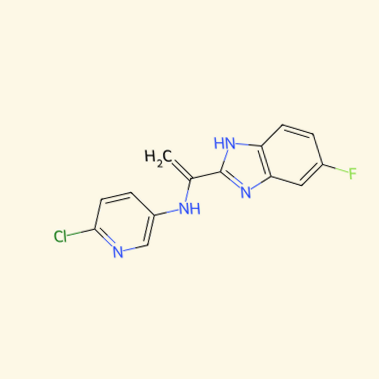 C=C(Nc1ccc(Cl)nc1)c1nc2cc(F)ccc2[nH]1